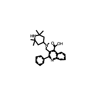 CN(Cc1c(-c2ccccc2)nc2ccccc2c1C(=O)O)C1CC(C)(C)NC(C)(C)C1